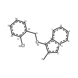 Cc1[c]n2ccccc2c1OCc1ccccc1Cl